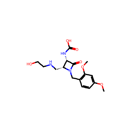 COc1ccc(CN2C(=O)[C@@H](NC(=O)O)[C@H]2CNCCO)c(OC)c1